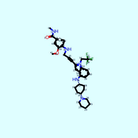 CNC(=O)c1ccc(NCC#Cc2cc3c(N[C@H]4CC[C@@H](N5CCCCC5)CC4)cccc3n2CC(F)(F)F)c(OC)c1